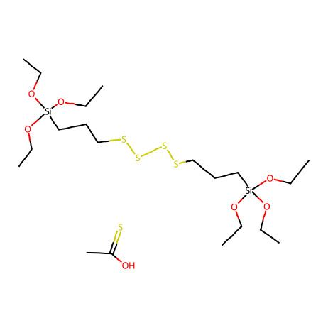 CC(O)=S.CCO[Si](CCCSSSSCCC[Si](OCC)(OCC)OCC)(OCC)OCC